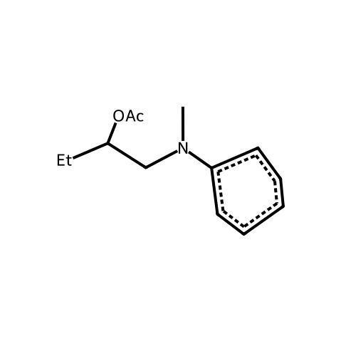 CCC(CN(C)c1ccccc1)OC(C)=O